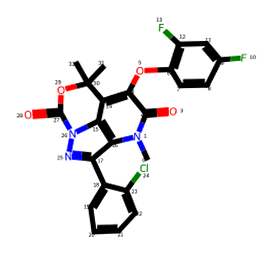 Cn1c(=O)c(Oc2ccc(F)cc2F)c2c3c1c(-c1ccccc1Cl)nn3C(=O)OC2(C)C